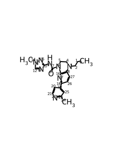 CCCN1CCN(C(=O)Nc2ncn(C)n2)c2nc(-c3ccnc(C)c3)ccc21